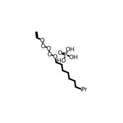 C=COOOOOCCCCCCCC(C)C.O=P(O)(O)O